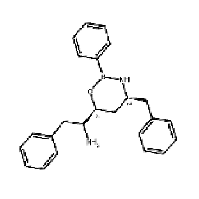 NC(Cc1ccccc1)[C@@H]1C[C@H](Cc2ccccc2)NB(c2ccccc2)O1